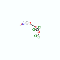 CCON=C(C)c1ccc(OCCCCCOc2c(Cl)cc(OCC=C(Cl)Cl)cc2Cl)cc1